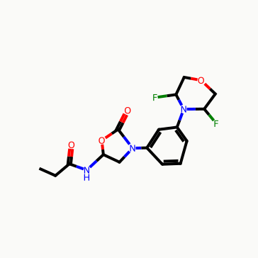 CCC(=O)NC1CN(c2cccc(N3C(F)COCC3F)c2)C(=O)O1